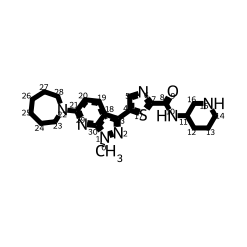 Cn1nc(-c2cnc(C(=O)NC3CCCNC3)s2)c2ccc(N3CCCCCC3)nc21